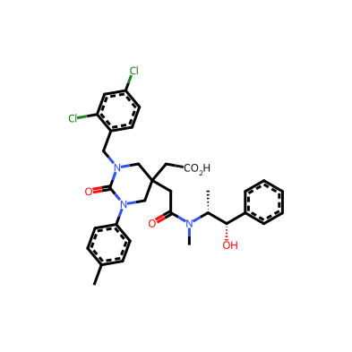 Cc1ccc(N2CC(CC(=O)O)(CC(=O)N(C)[C@H](C)[C@@H](O)c3ccccc3)CN(Cc3ccc(Cl)cc3Cl)C2=O)cc1